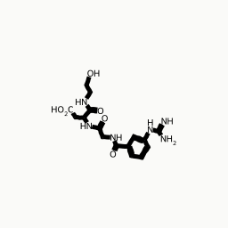 N=C(N)Nc1cccc(C(=O)NCC(=O)NC(CC(=O)O)C(=O)NCCO)c1